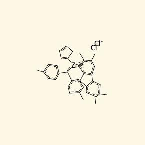 Cc1ccc([C](c2ccc(C)cc2)=[Zr+2]([C]2=CC=CC2)[c]2c(C)c(C)cc3c2Cc2cc(C)c(C)cc2-3)cc1.[Cl-].[Cl-]